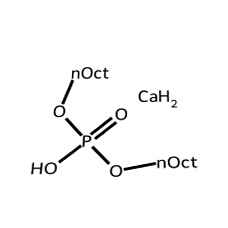 CCCCCCCCOP(=O)(O)OCCCCCCCC.[CaH2]